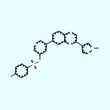 Cn1cc(-c2cnc3ccc(-c4cncc(NS(=O)(=O)c5ccc(C(F)(F)F)cc5)c4)cc3n2)cn1